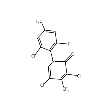 O=c1c(Cl)c(C(F)(F)F)c(Cl)cn1-c1c(F)cc(C(F)(F)F)cc1Cl